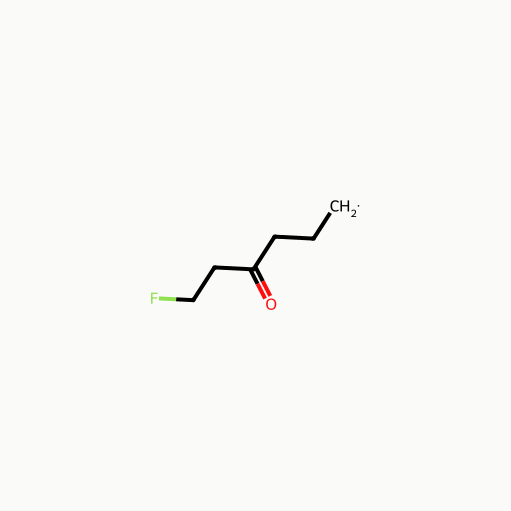 [CH2]CCC(=O)CCF